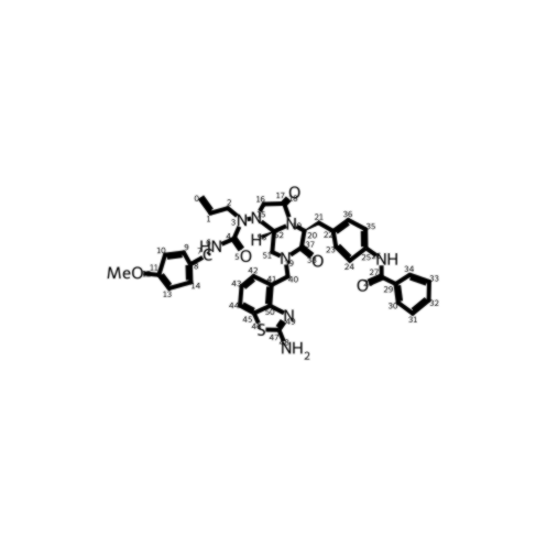 C=CCN(C(=O)NCc1ccc(OC)cc1)N1CC(=O)N2[C@@H](Cc3ccc(NC(=O)c4ccccc4)cc3)C(=O)N(Cc3cccc4sc(N)nc34)C[C@@H]21